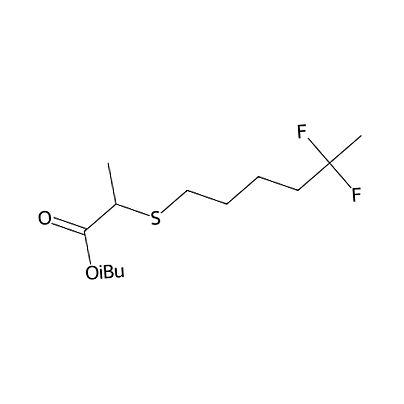 CC(C)COC(=O)C(C)SCCCCC(C)(F)F